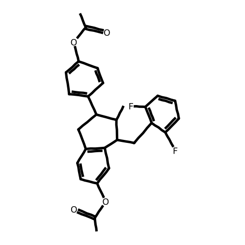 CC(=O)Oc1ccc(C2Cc3ccc(OC(C)=O)cc3C(Cc3c(F)cccc3F)C2C)cc1